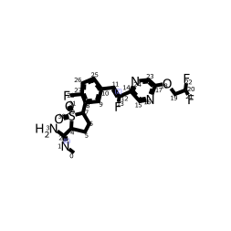 C/N=C(/N)C1CCC(c2cc(/C=C(\F)c3cnc(OCC(F)F)cn3)ccc2F)S1(=O)=O